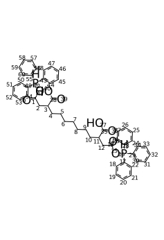 O=C(CC(CCCCCCCC(CC(=O)O[PH](c1ccccc1)(c1ccccc1)c1ccccc1)C(=O)O)C(=O)O)O[PH](c1ccccc1)(c1ccccc1)c1ccccc1